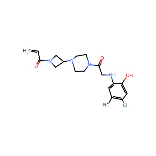 C=CC(=O)N1CC(N2CCN(C(=O)CNc3cc(C#N)c(Cl)cc3O)CC2)C1